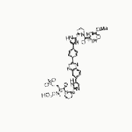 COC(=O)N[C@H](C(=O)N1CCC[C@H]1c1nc(-c2ccc(-c3cnc4cc(-c5cnc([C@@H]6CCCN6C(=O)[C@H](CCS(C)(=O)=O)N(C)C(=O)O)[nH]5)ccc4n3)cc2)c[nH]1)C(C)C